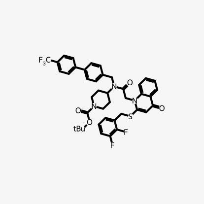 CC(C)(C)OC(=O)N1CCC(N(Cc2ccc(-c3ccc(C(F)(F)F)cc3)cc2)C(=O)Cn2c(SCc3cccc(F)c3F)cc(=O)c3ccccc32)CC1